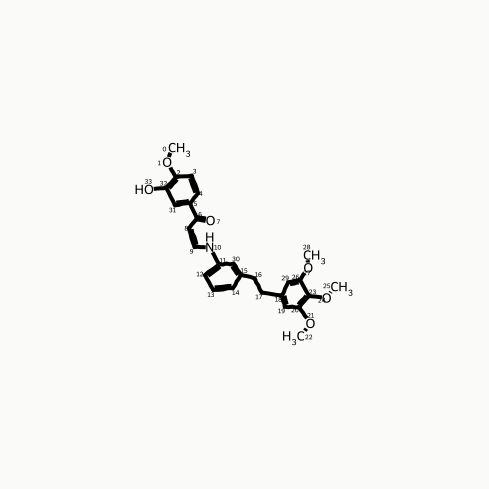 COc1ccc(C(=O)/C=C\Nc2cccc(CCc3cc(OC)c(OC)c(OC)c3)c2)cc1O